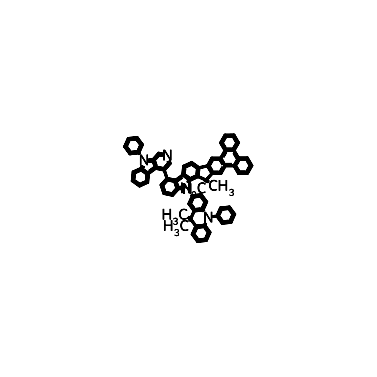 CC1(C)c2ccccc2N(c2ccccc2)c2ccc(-n3c4cccc(-c5cncc6c5c5ccccc5n6-c5ccccc5)c4c4ccc5c(c43)C(C)(C)c3cc4c6ccccc6c6ccccc6c4cc3-5)cc21